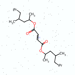 CC(C)CC(C)CC(C)OC(=O)/C=C/C(=O)OC(C)CC(C)CC(C)C